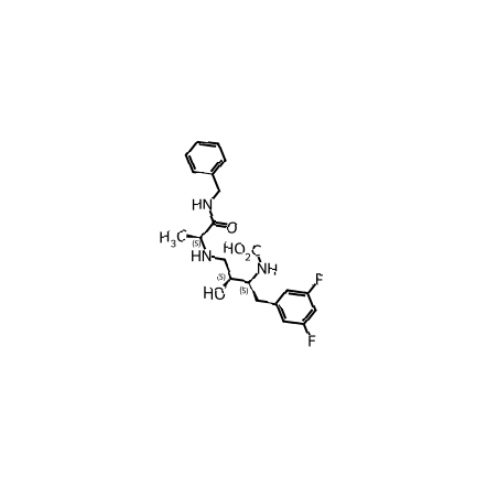 C[C@H](NC[C@H](O)[C@H](Cc1cc(F)cc(F)c1)NC(=O)O)C(=O)NCc1ccccc1